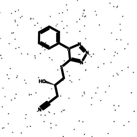 N#CC[C@H](O)CSc1nnnn1-c1ccccc1